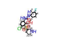 Cc1c(F)cccc1NC(=O)Nc1ccc(Cl)c(S(=O)(=O)[C@@H]2CCCNC2)c1O